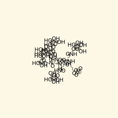 O=C(CCC(NC(=O)[C@H](CCC(=O)NCCO[C@H]1O[C@H](CO)[C@@H](O)[C@H](O)[C@@H]1O)NC(=O)CCCCC(=O)ON1C(=O)CCC1=O)C(=O)N[C@@H](CCC(=O)NCCO[C@H]1O[C@H](CO)C[C@H](O)[C@@H]1O)C(=O)NCCO[C@H]1O[C@H](CO[C@H]2O[C@H](CO)[C@@H](O)[C@H](O)[C@@H]2O)[C@@H](O)[C@H](O[C@H]2O[C@H](CO)[C@@H](O)[C@H](O)[C@@H]2O)[C@@H]1O)NCCO[C@H]1O[C@H](CO)[C@@H](O)[C@H](O)[C@@H]1O